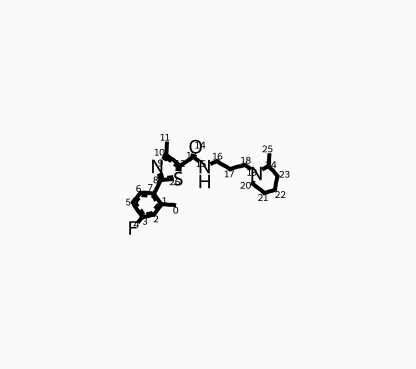 Cc1cc(F)ccc1-c1nc(C)c(C(=O)NCCCN2CCCCC2C)s1